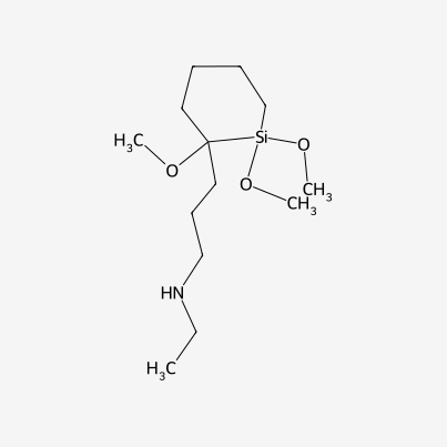 CCNCCCC1(OC)CCCC[Si]1(OC)OC